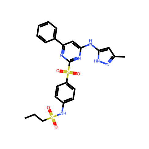 CCCS(=O)(=O)Nc1ccc(S(=O)(=O)c2nc(Nc3cc(C)n[nH]3)cc(-c3ccccc3)n2)cc1